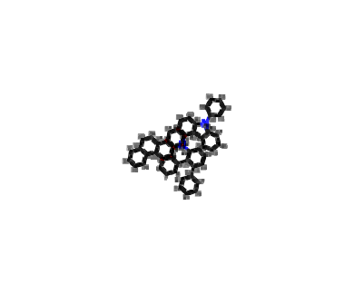 c1ccc(-c2ccccc2-c2c(-c3ccccc3)cccc2N(c2ccc3c(ccc4ccccc43)c2)c2cccc3c2c2ccccc2n3-c2ccccc2)cc1